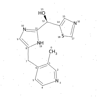 Cc1cnccc1Cc1cnc([C@@H](O)c2cncs2)[nH]1